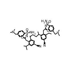 CCc1cc(C#N)cc(C(C)CCC(C)c2cc(C#N)cc(C(C)C)c2CC(=O)N=S(N)(=O)c2ccc(CN(C)C)cc2)c1CC(=O)N=S(N)(=O)c1ccc(CN(C)C)cc1